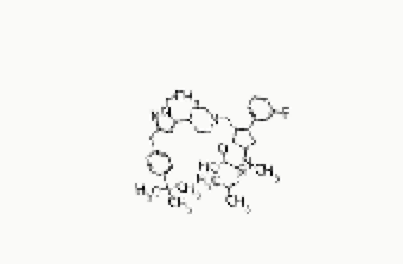 CCn1nc(Cc2ccc(C(C)(C)C)cc2)cc1C1CCN(CC2CC(N(C)[C@H](CC(C)C)C(=O)O)CC2c2cccc(F)c2)CC1